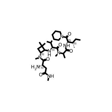 CC[C@H](C)[C@H](NC(=O)C(C)N(C)C(=O)[C@@H](NC1[C@@H](N(C)C(=O)[C@@H](N)CC(=O)NC)CC1(C)C)C(C)C)C(=O)N1CCCCC1